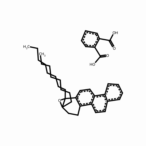 CCCCCCCCC12CCc3c(ccc4c3ccc3ccccc34)C1(CCCCCCCC)O2.O=C(O)c1ccccc1C(=O)O